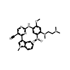 COc1cc(N(C)CCN(C)C)c([N+](=O)[O-])cc1Nc1ncc(C#N)c(-c2cn(C)c3ccccc23)n1